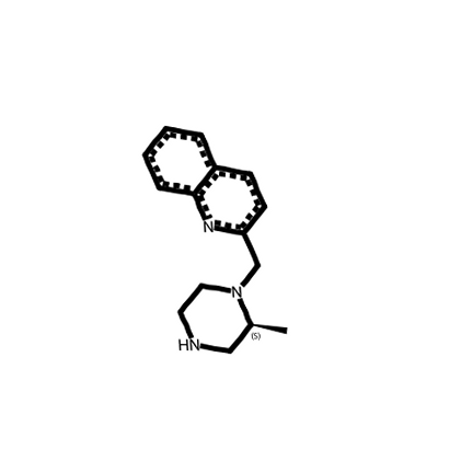 C[C@H]1CNCCN1Cc1ccc2ccccc2n1